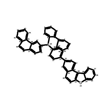 c1ccc(-c2ccccc2N(c2ccc(-c3ccc4c(ccc5oc6ccccc6c54)c3)cc2)c2ccc3ccc4ccccc4c3c2)cc1